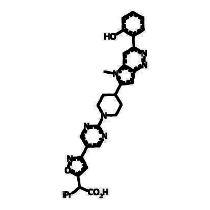 CC(C)C(C(=O)O)c1cc(-c2cnc(N3CCC(c4cc5nnc(-c6ccccc6O)cc5n4C)CC3)nc2)no1